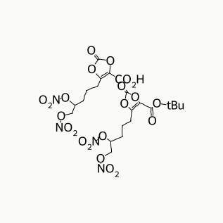 CC(C)(C)OC(=O)c1oc(=O)oc1CCCC(CO[N+](=O)[O-])O[N+](=O)[O-].O=C(O)c1oc(=O)oc1CCCC(CO[N+](=O)[O-])O[N+](=O)[O-]